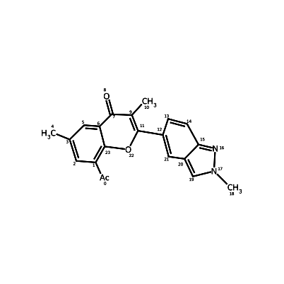 CC(=O)c1cc(C)cc2c(=O)c(C)c(-c3ccc4nn(C)cc4c3)oc12